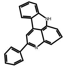 c1ccc(-c2cc3c4c(cccc4n2)Nc2ccccc2-3)cc1